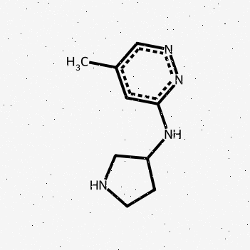 Cc1cnnc(NC2CCNC2)c1